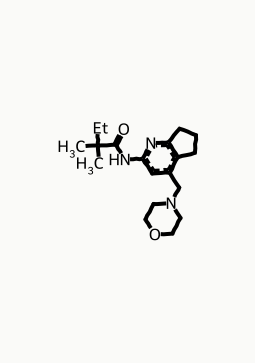 CCC(C)(C)C(=O)Nc1cc(CN2CCOCC2)c2c(n1)CCC2